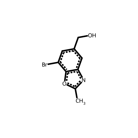 Cc1nc2cc(CO)cc(Br)c2o1